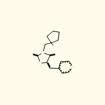 O=C1NC(=Cc2ccncc2)C(=O)N1CC1(O)CCCC1